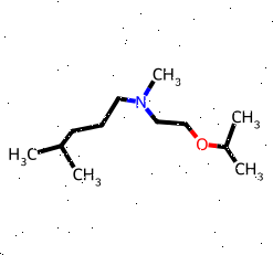 CC(C)CCCN(C)CCOC(C)C